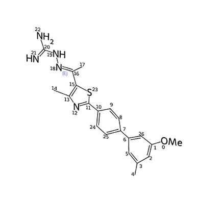 COc1cc(C)cc(-c2ccc(-c3nc(C)c(/C(C)=N/NC(=N)N)s3)cc2)c1